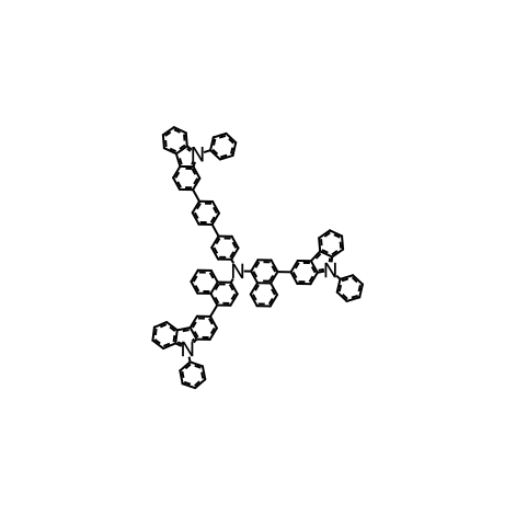 c1ccc(-n2c3ccccc3c3cc(-c4ccc(N(c5ccc(-c6ccc(-c7ccc8c9ccccc9n(-c9ccccc9)c8c7)cc6)cc5)c5ccc(-c6ccc7c(c6)c6ccccc6n7-c6ccccc6)c6ccccc56)c5ccccc45)ccc32)cc1